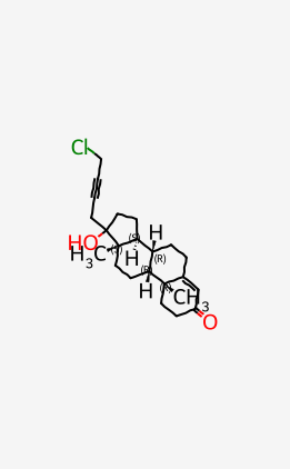 C[C@]12CCC(=O)C=C1CC[C@@H]1[C@H]2CC[C@@]2(C)[C@H]1CCC2(O)CC#CCCl